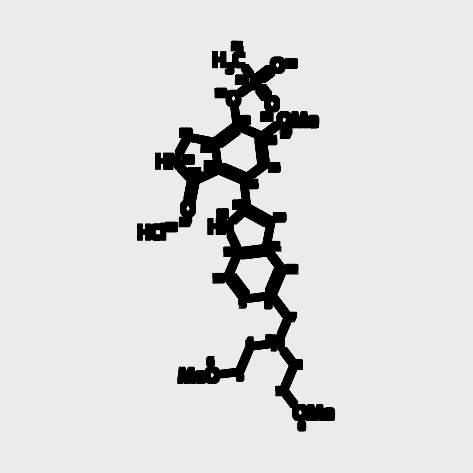 COCCN(CCOC)Cc1ccc2[nH]c(-c3cc(OC)c(OS(C)(=O)=O)c4c3C(=O)NC4)cc2c1.Cl